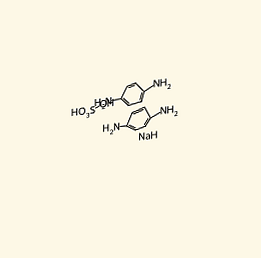 Nc1ccc(N)cc1.Nc1ccc(N)cc1.O=S(=O)(O)O.[NaH]